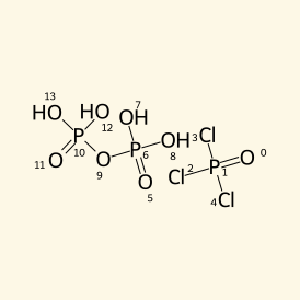 O=P(Cl)(Cl)Cl.O=P(O)(O)OP(=O)(O)O